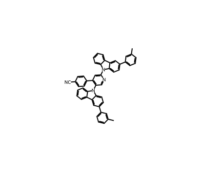 Cc1cccc(-c2ccc3c(c2)c2ccccc2n3-c2cc(-c3ccc(C#N)cc3)c(-n3c4ccccc4c4cc(-c5cccc(C)c5)ccc43)cn2)c1